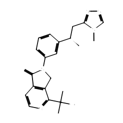 C[C@H](Cc1nncn1C)c1cccc(N2Cc3c(ccnc3C(C)(C)O)C2=O)c1